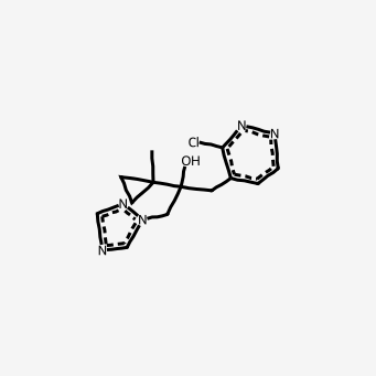 CC1(C(O)(Cc2ccnnc2Cl)Cn2cncn2)CC1